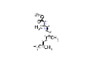 CC(C)=CCCC(C)C/C=C/C(C)=C/C(=O)OC(C)C